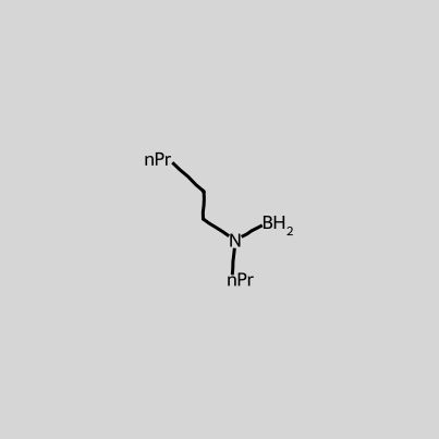 BN(CCC)CCCCC